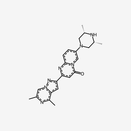 Cc1cn2nc(-c3cc(=O)n4cc(N5C[C@@H](C)N[C@@H](C)C5)ccc4n3)cc2c(C)n1